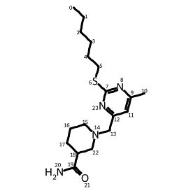 CCCCCCSc1nc(C)cc(CN2CCCC(C(N)=O)C2)n1